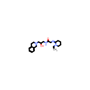 C=CN1CCCC/C1=N/CC(=O)NCC(O)CN1CCc2ccccc2C1